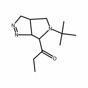 CCC(=O)C1C2N=NCC2CN1C(C)(C)C